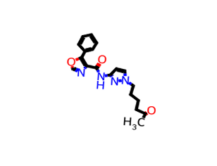 CC(=O)CCCCn1ccc(NC(=O)c2ncoc2-c2ccccc2)n1